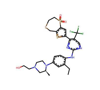 CCc1cc(N2CCN(CCO)C[C@@H]2C)ccc1Nc1ncc(C(F)(F)F)c(-c2cc3c(s2)CSCCS3(=O)=O)n1